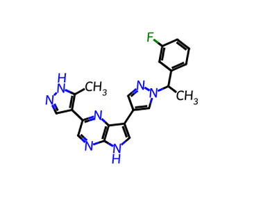 Cc1[nH]ncc1-c1cnc2[nH]cc(-c3cnn(C(C)c4cccc(F)c4)c3)c2n1